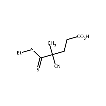 CCSC(=S)C(C)(C#N)CCC(=O)O